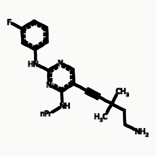 CCCNc1nc(Nc2cccc(F)c2)ncc1C#CC(C)(C)CCN